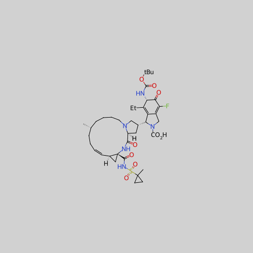 CCC1=C2C(=C(F)C(=O)[C@H]1NC(=O)OC(C)(C)C)CN(C(=O)O)C2[C@@H]1C[C@H]2C(=O)N[C@]3(C(=O)NS(=O)(=O)C4(C)CC4)C[C@H]3/C=C\CC[C@H](C)CCCCN2C1